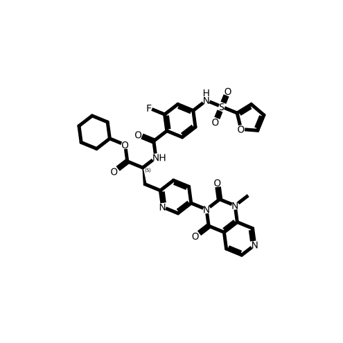 Cn1c(=O)n(-c2ccc(C[C@H](NC(=O)c3ccc(NS(=O)(=O)c4ccco4)cc3F)C(=O)OC3CCCCC3)nc2)c(=O)c2ccncc21